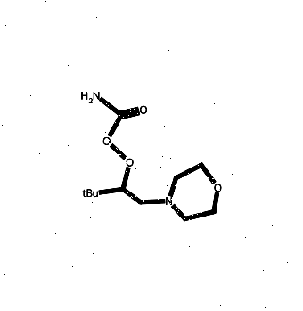 CC(C)(C)C(CN1CCOCC1)OOC(N)=O